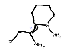 N/C(CCl)=C1/CCCCN1N